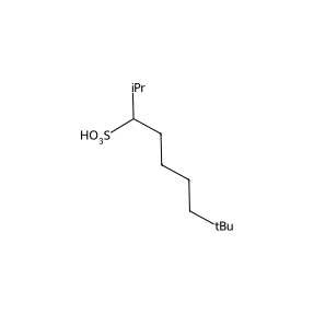 CC(C)C(CCCCC(C)(C)C)S(=O)(=O)O